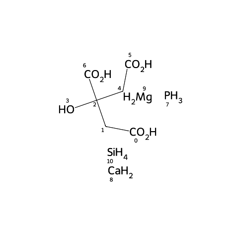 O=C(O)CC(O)(CC(=O)O)C(=O)O.P.[CaH2].[MgH2].[SiH4]